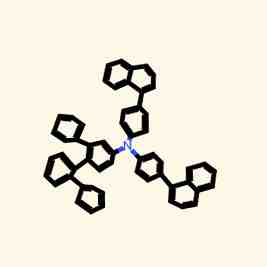 c1ccc(-c2ccccc2-c2ccc(N(c3ccc(-c4cccc5ccccc45)cc3)c3ccc(-c4cccc5ccccc45)cc3)cc2-c2ccccc2)cc1